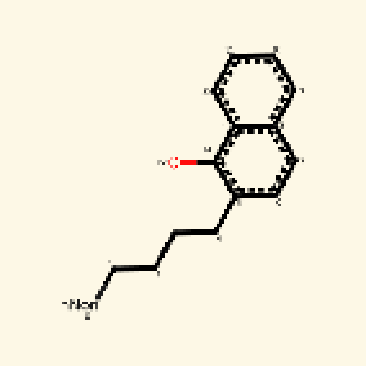 CCCCCCCCCCCCCc1ccc2ccccc2c1[O]